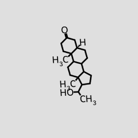 CC(O)C1CCC2C3CC[C@H]4CC(=O)CCC4(C)C3CCC12C